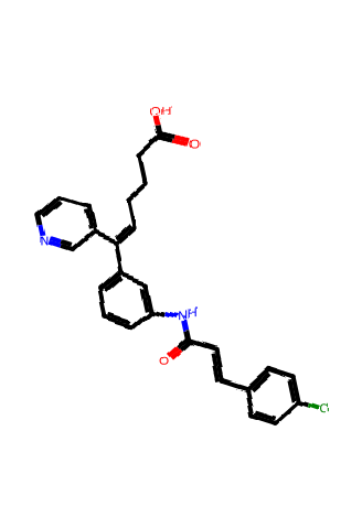 O=C(O)CCC/C=C(\c1cccnc1)c1cccc(NC(=O)/C=C/c2ccc(Cl)cc2)c1